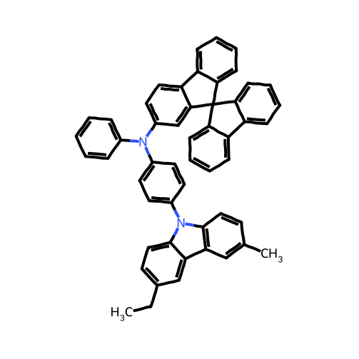 CCc1ccc2c(c1)c1cc(C)ccc1n2-c1ccc(N(c2ccccc2)c2ccc3c(c2)C2(c4ccccc4-c4ccccc42)c2ccccc2-3)cc1